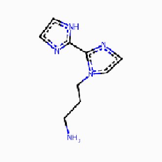 NCCCn1ccnc1-c1ncc[nH]1